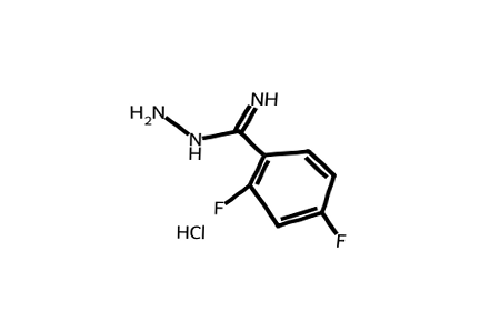 Cl.N=C(NN)c1ccc(F)cc1F